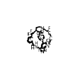 C[C@H]1Nc2nnnc3c2cc(N2CCS(=O)(=O)CC2)c(=O)n3CCCCCC(F)CN2CCC(CC2)C(F)(F)c2cccc1c2